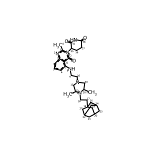 Cc1nc2cccc(NCCN3CC(C)N(CCC45CC6CC(CC(C6)C4)C5)C(C)C3)c2c(=O)n1C1CCC(=O)NC1=O